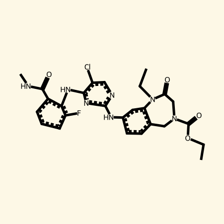 CCOC(=O)N1CC(=O)N(CC)c2cc(Nc3ncc(Cl)c(Nc4c(F)cccc4C(=O)NC)n3)ccc2C1